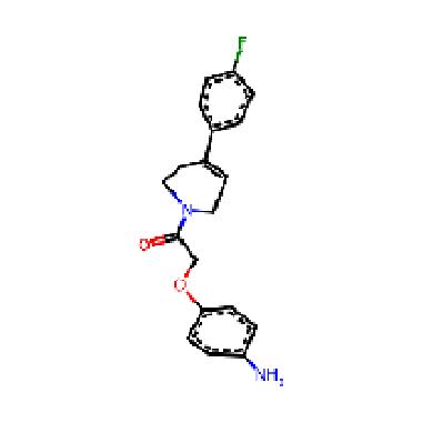 Nc1ccc(OCC(=O)N2CC=C(c3ccc(F)cc3)CC2)cc1